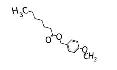 CCCCCCC(=O)OCc1ccc(OC)cc1